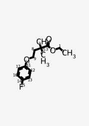 CCOC(=O)C(C)(C)CCOc1ccc(F)cc1